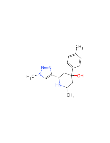 Cc1ccc([C@@]2(O)C[C@@H](c3cn(C)nn3)N[C@@H](C)C2)cc1